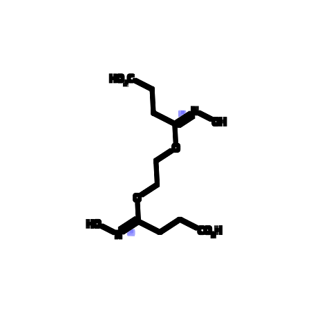 O=C(O)CC/C(=N/O)OCCO/C(CCC(=O)O)=N\O